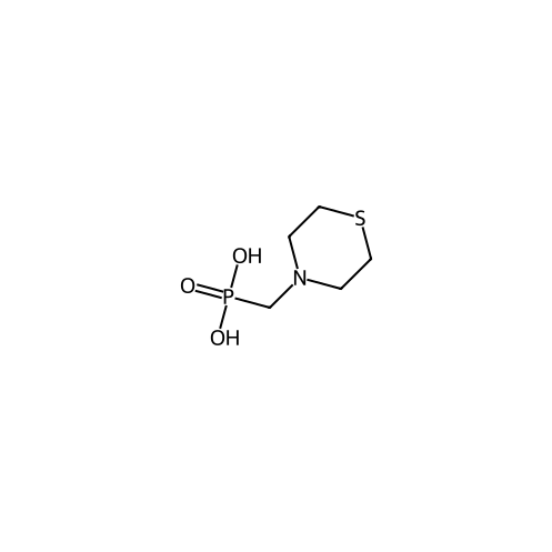 O=P(O)(O)CN1CCSCC1